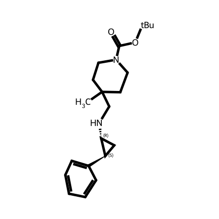 CC1(CN[C@@H]2C[C@H]2c2ccccc2)CCN(C(=O)OC(C)(C)C)CC1